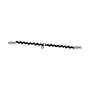 CCCCCCCCCCCCCCCCCCCCCCCCCCCOC(=O)CCCCCCCCCCCCCCCCCCCCCCCCC